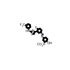 O=C(O)c1cc(/N=N/c2ccc(F)c(-c3csc(Nc4cccc(C(F)(F)F)c4)n3)c2)ccc1O